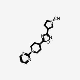 N#CN1CCC(c2noc(C3CCN(c4ncccn4)CC3)n2)C1